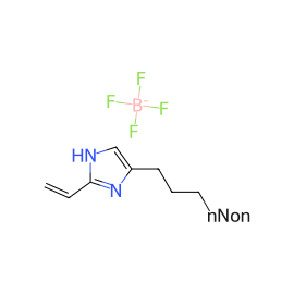 C=Cc1nc(CCCCCCCCCCCC)c[nH]1.F[B-](F)(F)F